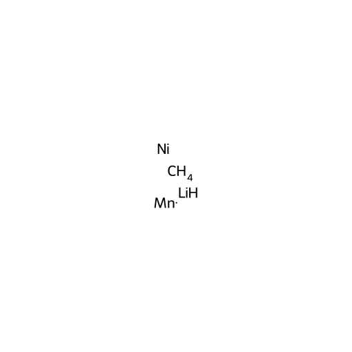 C.[LiH].[Mn].[Ni]